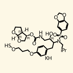 CC(C)CN(C(Cc1ccc(OCCCOS)cc1)[C@H](O)CNC(=O)O[C@H]1CO[C@H]2OCC[C@H]21)S(=O)(=O)c1ccc2c(c1)OCO2.[KH]